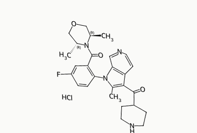 Cc1c(C(=O)C2CCNCC2)c2ccncc2n1-c1ccc(F)cc1C(=O)N1[C@H](C)COC[C@H]1C.Cl